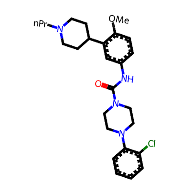 CCCN1CCC(c2cc(NC(=O)N3CCN(c4ccccc4Cl)CC3)ccc2OC)CC1